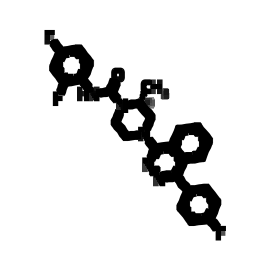 C[C@@H]1CN(c2nnc(-c3ccc(F)cc3)c3ccccc23)CCN1C(=O)Nc1ccc(F)cc1F